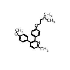 COc1ccc(-c2ccc(C)nc2-c2ccc(OCCN(C)C)cc2)cc1